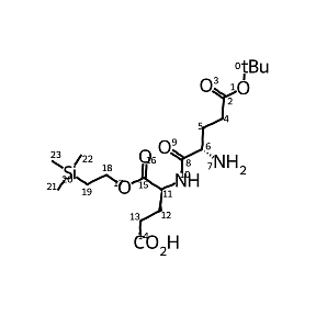 CC(C)(C)OC(=O)CC[C@H](N)C(=O)N[C@@H](CCC(=O)O)C(=O)OCC[Si](C)(C)C